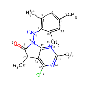 Cc1cc(C)c(NN2C(=O)C(C)c3c(Cl)nc(C)nc32)c(C)c1